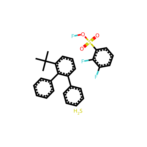 CC(C)(C)c1cccc(-c2ccccc2)c1-c1ccccc1.O=S(=O)(OF)c1cccc(F)c1F.S